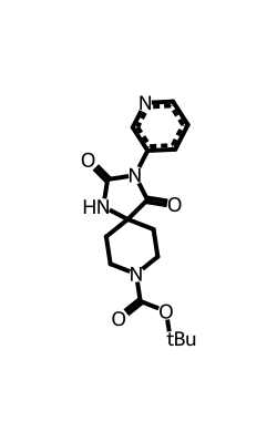 CC(C)(C)OC(=O)N1CCC2(CC1)NC(=O)N(c1cccnc1)C2=O